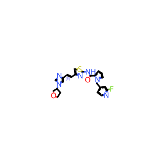 O=C(Nc1nc(/C=C/c2cn(C3CCOC3)cn2)cs1)c1cccn1Cc1ccnc(F)c1